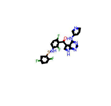 O=C(c1c(F)ccc(NSc2cc(F)ccc2F)c1F)c1c[nH]c2ncnc(Nc3cccnc3)c12